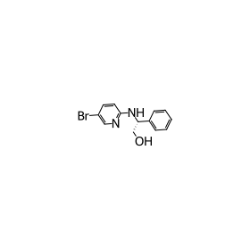 OC[C@H](Nc1ccc(Br)cn1)c1ccccc1